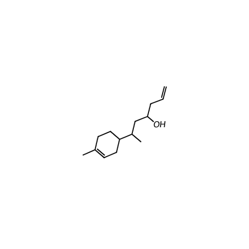 C=CCC(O)CC(C)C1CC=C(C)CC1